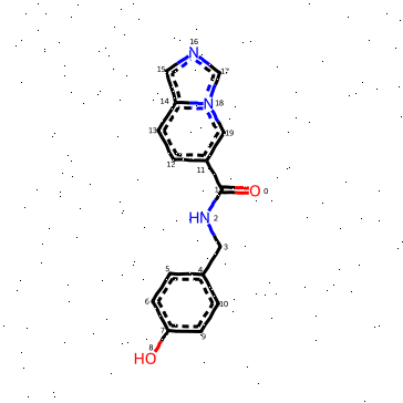 O=C(NCc1ccc(O)cc1)c1ccc2cncn2c1